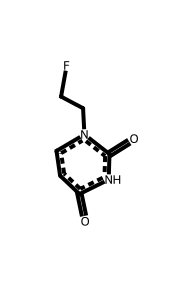 O=c1ccn(CCF)c(=O)[nH]1